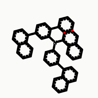 c1ccc(-c2ccc(-c3cccc4ccccc34)cc2N(c2cccc(-c3cccc4ccccc34)c2)c2cccc3ccccc23)cc1